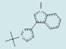 Cn1cc(-c2ccn(C(C)(C)C)n2)c2ccccc21